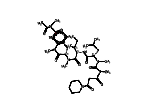 CC[C@H](C)[C@H](NC(=O)[C@H](CC(C)C)N(C)C(=O)N(C)C(=O)CC(=O)N1CCCCC1)C(=O)N(C)[C@@H](Cc1ccccc1)C(=O)N(C)C(=O)NC(=O)N(C)C(N)=O